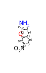 NCC1CCc2ccc([N+](=O)[O-])cc2O1